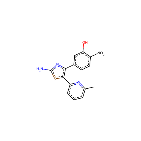 Cc1cccc(-c2sc(N)nc2-c2ccc([N+](=O)[O-])c(O)c2)n1